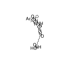 CC(=O)c1c(C)c2cnc(Nc3ccc(N4CCN(C(=O)CCCCCCC(=O)NO)CC4)cn3)nc2n(C2CCCC2)c1=O